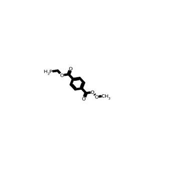 COOC(=O)c1ccc(C(=O)OCP)cc1